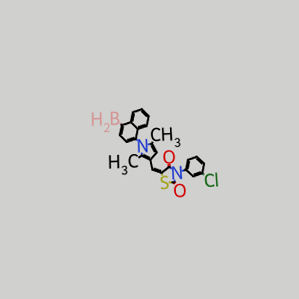 Bc1ccc(-n2c(C)cc(C=C3SC(=O)N(c4cccc(Cl)c4)C3=O)c2C)c2ccccc12